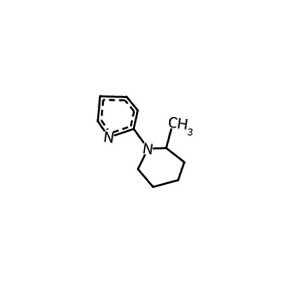 CC1CCCCN1c1ccccn1